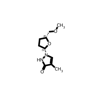 COC[C@H]1CC[C@@H](n2cc(C)c(=O)[nH]2)O1